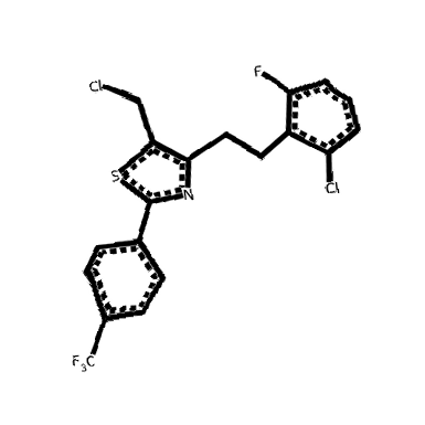 Fc1cccc(Cl)c1CCc1nc(-c2ccc(C(F)(F)F)cc2)sc1CCl